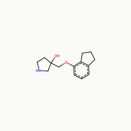 OC1(COc2cccc3c2CCC3)CCNC1